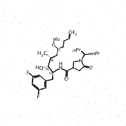 C=CCC[C@@H](C[C@@H](C)[C@@H](O)[C@H](Cc1cc(F)cc(F)c1)NC(=O)C1CC(=O)N(C(CCC)CCC)C1)OCCCC